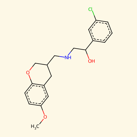 COc1ccc2c(c1)CC(CNCC(O)c1cccc(Cl)c1)CO2